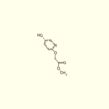 COC(=O)COc1ccc(O)cn1